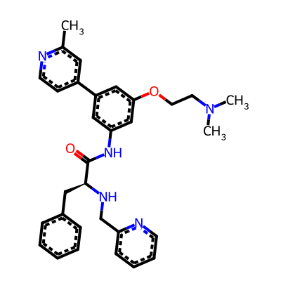 Cc1cc(-c2cc(NC(=O)[C@H](Cc3ccccc3)NCc3ccccn3)cc(OCCN(C)C)c2)ccn1